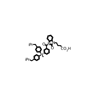 CC(C)Cc1ccc([N+](C)(c2ccc(CC(C)C)cc2)c2cccc(C(=O)n3c(=O)n(CCCC(=O)O)c4ccccc43)c2)cc1